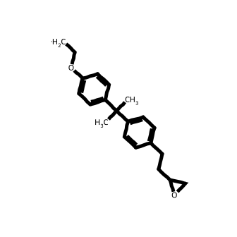 [CH2]COc1ccc(C(C)(C)c2ccc(CCC3CO3)cc2)cc1